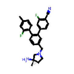 Cc1ccc(-c2ccc(CN3CC[C@](C)(N)C3)cc2-c2ccc(C#N)c(F)c2)c(F)c1